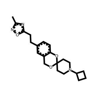 Cc1noc(CCc2ccc3c(c2)COC2(CCN(C4CCC4)CC2)O3)n1